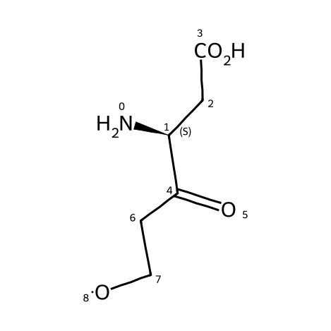 N[C@@H](CC(=O)O)C(=O)CC[O]